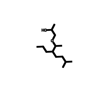 CCCC(CCC(C)C)C(C)OCC(C)O